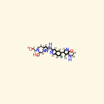 COCCN1CCc2cc(Nc3cc4cc(-c5cnc6c(c5C)NCCO6)c(F)cc4cn3)nn2CC1O